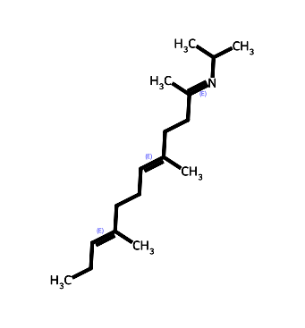 CC/C=C(\C)CC/C=C(\C)CC/C(C)=N/C(C)C